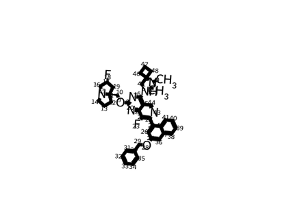 CN(C)C1(CNc2nc(OC[C@@]34CCCN3C[C@H](F)C4)nc3c(F)c(-c4cc(OCc5ccccc5)cc5ccccc45)ncc23)CCC1